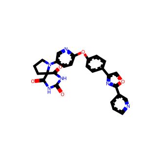 O=C1NC(=O)C2(CCCN2c2ccc(Oc3ccc(-c4coc(-c5cccnc5)n4)cc3)nc2)C(=O)N1